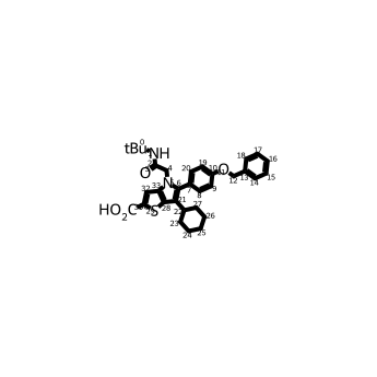 CC(C)(C)NC(=O)Cn1c(-c2ccc(OCc3ccccc3)cc2)c(C2CCCCC2)c2sc(C(=O)O)cc21